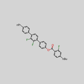 CCCCc1ccc(C(=O)Oc2ccc(-c3ccc(-c4ccc(CCC)cc4)c(F)c3F)cc2)c(F)c1